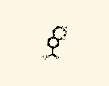 NC(=O)c1ccc2cc[nH]soc2c1